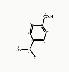 CN(N=O)c1ccc(C(=O)O)cc1